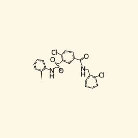 Cc1ccccc1NS(=O)(=O)c1cc(C(=O)NCc2ccccc2Cl)ccc1Cl